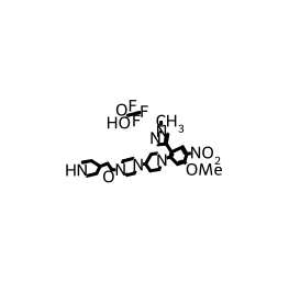 COc1cc(N2CCC(N3CCN(C(=O)CC4CCNCC4)CC3)CC2)c(-c2cnn(C)c2)cc1[N+](=O)[O-].O=C(O)C(F)(F)F